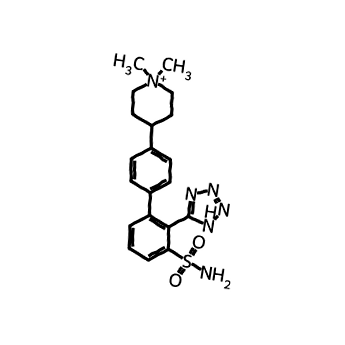 C[N+]1(C)CCC(c2ccc(-c3cccc(S(N)(=O)=O)c3-c3nnn[nH]3)cc2)CC1